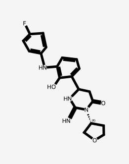 N=C1NC(c2cccc(Nc3ccc(F)cc3)c2O)CC(=O)N1[C@@H]1CCOC1